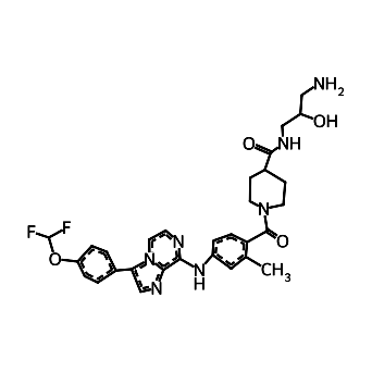 Cc1cc(Nc2nccn3c(-c4ccc(OC(F)F)cc4)cnc23)ccc1C(=O)N1CCC(C(=O)NCC(O)CN)CC1